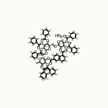 CC1O[C@H](CO[C@@H]2O[C@H](CO[C@@H]3O[C@H](CO)[C@@H](OC(=O)c4ccccc4)[C@H](OC(=O)c4ccccc4)[C@H]3OC(=O)c3ccccc3)[C@@H](OC(=O)c3ccccc3)[C@H](OC(=O)c3ccccc3)[C@H]2OC(=O)c2ccccc2)[C@@H](OC(=O)c2ccccc2)[C@H](OC(=O)c2ccccc2)[C@H]1OC(=O)c1ccccc1